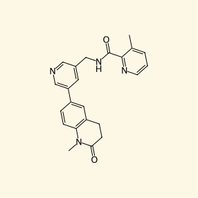 Cc1cccnc1C(=O)NCc1cncc(-c2ccc3c(c2)CCC(=O)N3C)c1